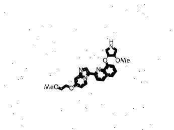 COCCOc1ccn2c(-c3ccc4cccc(O[C@@H]5CNC[C@H]5OC)c4n3)cnc2c1